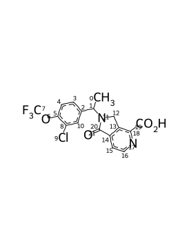 CC(c1ccc(OC(F)(F)F)c(Cl)c1)N1Cc2c(ccnc2C(=O)O)C1=O